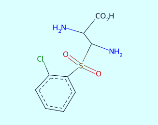 NC(C(=O)O)C(N)S(=O)(=O)c1ccccc1Cl